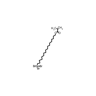 C=C(C)C(=O)OCCCCCCCCCCCCCCCCCC[Si](Br)(Br)Br